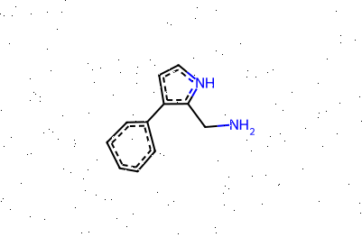 NCc1[nH]ccc1-c1ccccc1